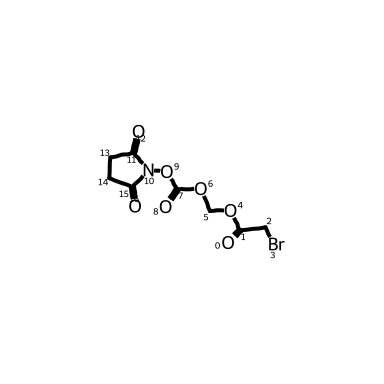 O=C(CBr)OCOC(=O)ON1C(=O)CCC1=O